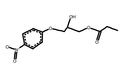 CCC(=O)OCC(O)COc1ccc([N+](=O)[O-])cc1